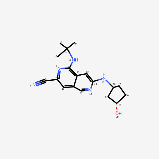 CC(C)(C)Nc1nc(C#N)cc2cnc(NC3CC[C@H](O)C3)cc12